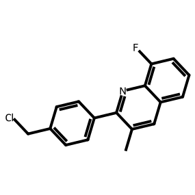 Cc1cc2cccc(F)c2nc1-c1ccc(CCl)cc1